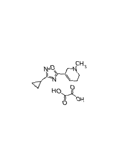 CN1CCC=C(c2nc(C3CC3)no2)C1.O=C(O)C(=O)O